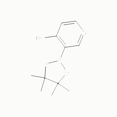 CC1(C)OB(c2cnccc2O)OC1(C)C